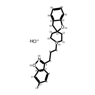 Cl.Fc1ccc2c(CCCN3CCC4(CC3)Cc3ccccc3O4)noc2c1